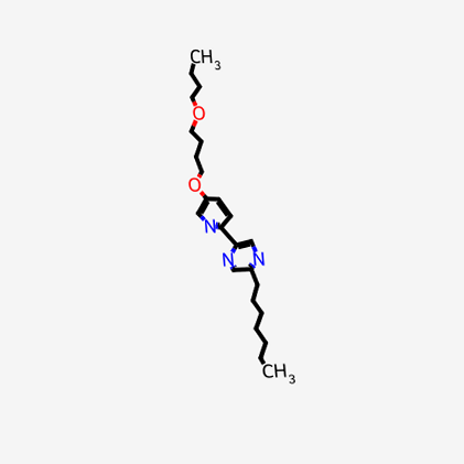 CCCCCCCc1cnc(-c2ccc(OCCCCOCCCC)cn2)cn1